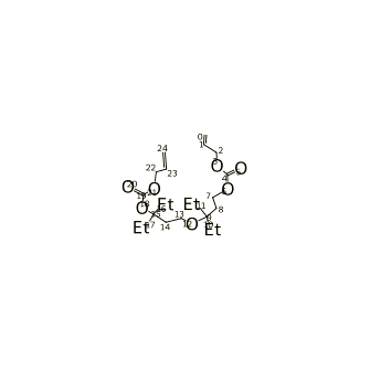 C=CCOC(=O)OCCC(CC)(CC)OCCC(CC)(CC)OC(=O)OCC=C